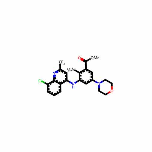 COC(=O)c1cc(N2CCOCC2)cc(Nc2cc(C(F)(F)F)nc3c(Cl)cccc23)c1[N+](=O)[O-]